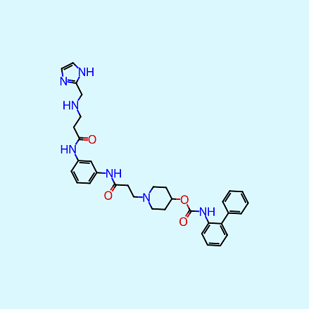 O=C(CCNCc1ncc[nH]1)Nc1cccc(NC(=O)CCN2CCC(OC(=O)Nc3ccccc3-c3ccccc3)CC2)c1